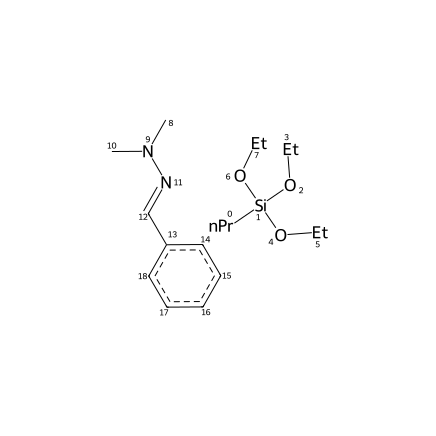 CCC[Si](OCC)(OCC)OCC.CN(C)N=Cc1ccccc1